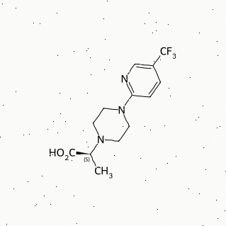 C[C@@H](C(=O)O)N1CCN(c2ccc(C(F)(F)F)cn2)CC1